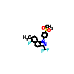 Cc1ccc2c(ccc3c(C(F)F)nn(-c4ccc(S(C)(=O)=O)cc4)c32)c1F